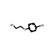 CCCc1ccc(OCCC(C)C)cc1